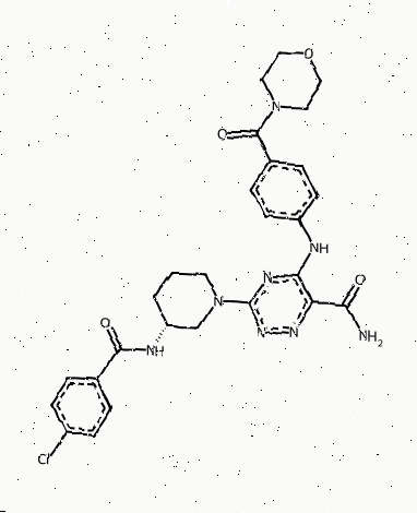 NC(=O)c1nnc(N2CCC[C@@H](NC(=O)c3ccc(Cl)cc3)C2)nc1Nc1ccc(C(=O)N2CCOCC2)cc1